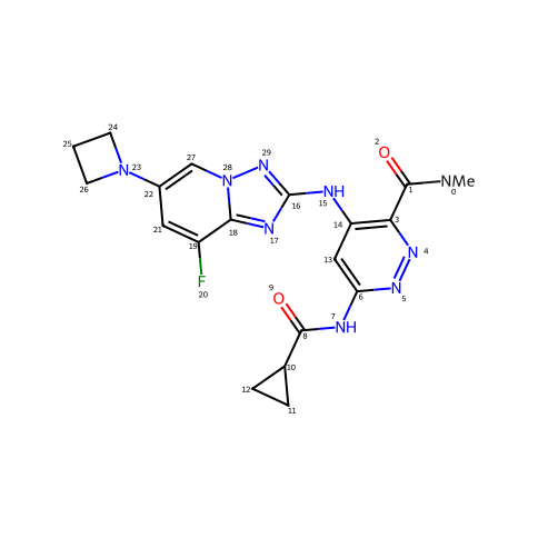 CNC(=O)c1nnc(NC(=O)C2CC2)cc1Nc1nc2c(F)cc(N3CCC3)cn2n1